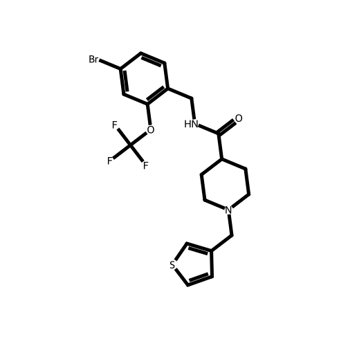 O=C(NCc1ccc(Br)cc1OC(F)(F)F)C1CCN(Cc2ccsc2)CC1